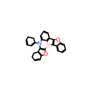 C1=CCCC(N2c3cccc4c3B(c3oc5c(c32)CCC=C5)c2c-4oc3ccccc23)=C1